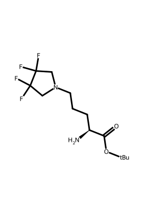 CC(C)(C)OC(=O)[C@@H](N)CCCN1CC(F)(F)C(F)(F)C1